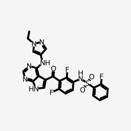 CCn1cc(Nc2ncnc3[nH]cc(C(=O)c4c(F)ccc(NS(=O)(=O)c5ccccc5F)c4F)c23)cn1